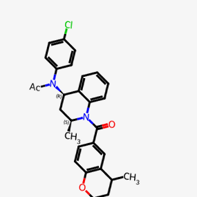 CC(=O)N(c1ccc(Cl)cc1)[C@@H]1C[C@H](C)N(C(=O)c2ccc3c(c2)C(C)CCO3)c2ccccc21